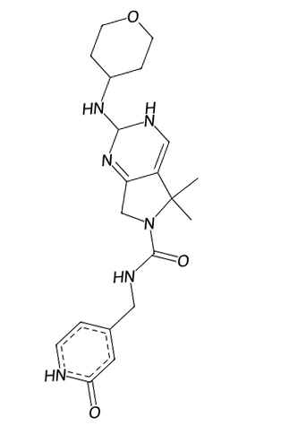 CC1(C)C2=CNC(NC3CCOCC3)N=C2CN1C(=O)NCc1cc[nH]c(=O)c1